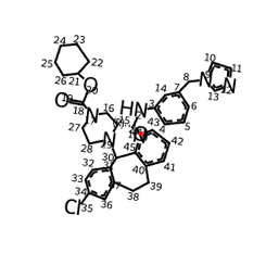 O=C(Nc1cccc(Cn2ccnc2)c1)[C@H]1CN(C(=O)OC2CCCCC2)CCN1C1c2ccc(Cl)cc2CCc2cccnc21